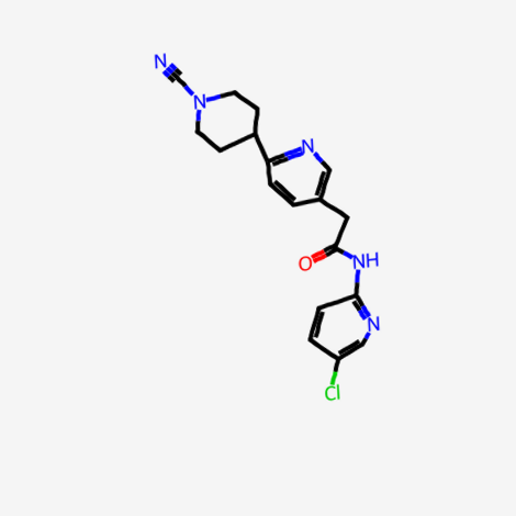 N#CN1CCC(c2ccc(CC(=O)Nc3ccc(Cl)cn3)cn2)CC1